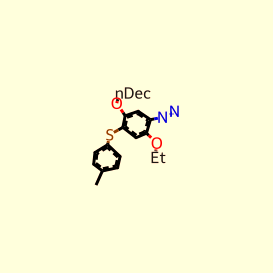 CCCCCCCCCCOc1cc([N+]#N)c(OCC)cc1Sc1ccc(C)cc1